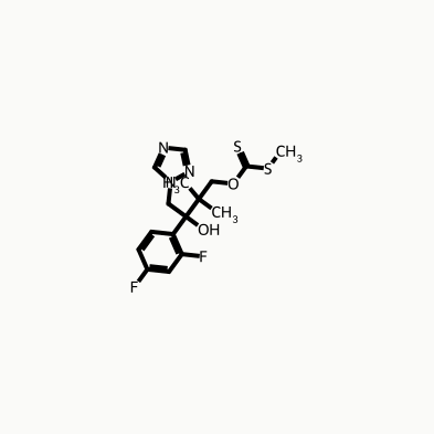 CSC(=S)OCC(C)(C)C(O)(Cn1cncn1)c1ccc(F)cc1F